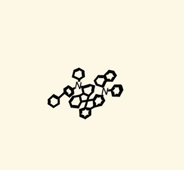 c1ccc(N(C2=c3ccccc3=CCC2)c2ccc3c(c2)C2(c4ccccc4-3)C3C=CC=CC3C3C(N(c4ccc(C5=CC=CCC5)cc4)C4C=CC=CC4)=CC=CC32)cc#1